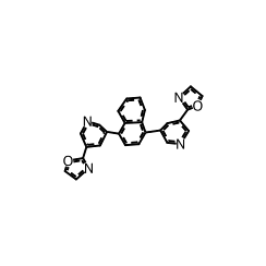 c1ccc2c(-c3cncc(-c4ncco4)c3)ccc(-c3cncc(-c4ncco4)c3)c2c1